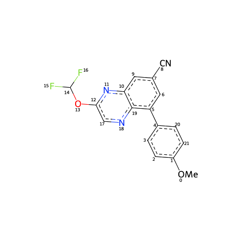 COc1ccc(-c2cc(C#N)cc3nc(OC(F)F)cnc23)cc1